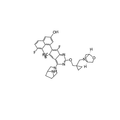 C#Cc1c(F)ccc2cc(O)cc(-c3c(C(F)(F)F)cc4c(N5CC6CCC(C5)N6)nc(OCC5(CN6C[C@@H]7C[C@H]6CO7)CC5)nc4c3F)c12